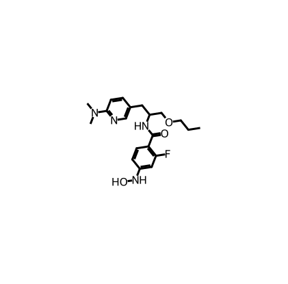 CCCOCC(Cc1ccc(N(C)C)nc1)NC(=O)c1ccc(NO)cc1F